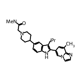 CNC(=O)CN1CCC(c2ccc3[nH]c(-c4cc(C)c5nccn5c4)c(C(C)C)c3c2)CC1